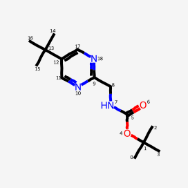 CC(C)(C)OC(=O)NCc1ncc(C(C)(C)C)cn1